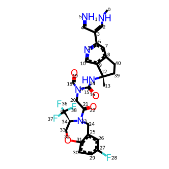 CN/C=C(\C=N)c1cc2c(cn1)[C@@](C)(NC(=O)N(C=O)CC(=O)N1Cc3cc(F)ccc3OC[C@H]1C(F)(F)F)CC2